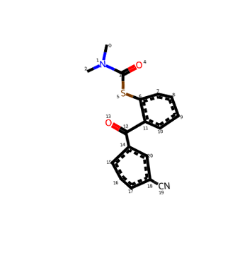 CN(C)C(=O)Sc1ccccc1C(=O)c1cccc(C#N)c1